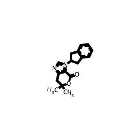 CC1(C)Cc2ncn(C3Cc4ccccc4C3)c2C(=O)O1